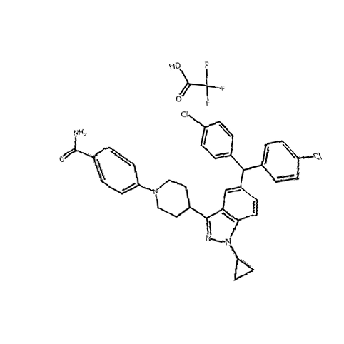 NC(=O)c1ccc(N2CCC(c3nn(C4CC4)c4ccc(C(c5ccc(Cl)cc5)c5ccc(Cl)cc5)cc34)CC2)cc1.O=C(O)C(F)(F)F